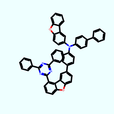 c1ccc(-c2ccc(N(c3ccc(-c4ccc5oc6cccc(-c7nc(-c8ccccc8)nc(-c8ccccc8)n7)c6c5c4)cc3)c3ccc4oc5ccccc5c4c3)cc2)cc1